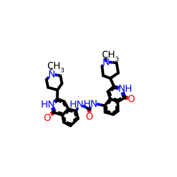 CN1CCC(c2cc3c(NC(=O)Nc4cccc5c(=O)[nH]c(C6CCN(C)CC6)cc45)cccc3c(=O)[nH]2)CC1